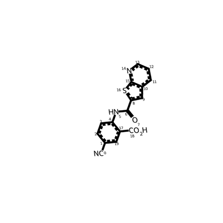 N#Cc1ccc(NC(=O)c2cc3cccnc3s2)c(C(=O)O)c1